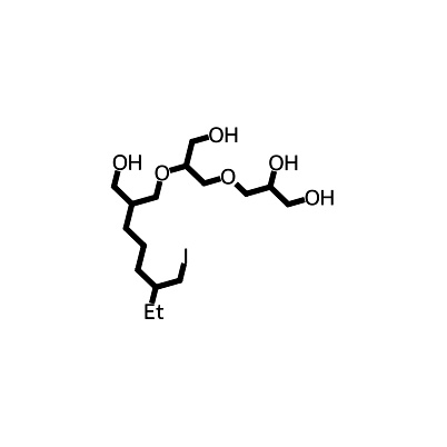 CCC(CI)CCCC(CO)COC(CO)COCC(O)CO